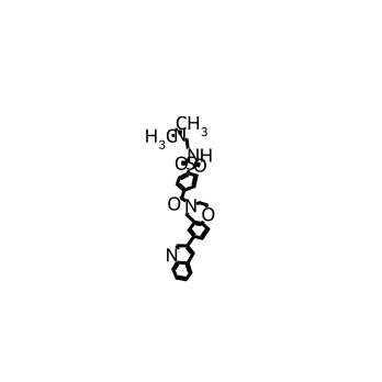 CN(C)CCNS(=O)(=O)c1ccc(C(=O)N2CCOc3ccc(-c4cnc5ccccc5c4)cc3C2)cc1